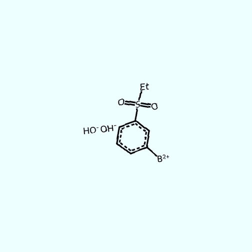 [B+2]c1cccc(S(=O)(=O)CC)c1.[OH-].[OH-]